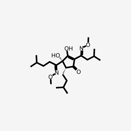 CON=C(CC(C)C)C1=C(O)[C@](O)(C(CCC(C)C)=NOC)[C@@H](CCC(C)C)C1=O